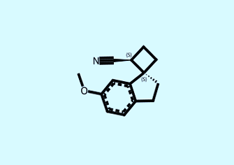 COc1ccc2c(c1)[C@]1(CC2)CC[C@@H]1C#N